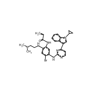 C=CC(=O)Nc1cc(Nc2nccc(-c3cn(C4CC4)c4ccccc34)n2)c(Br)cc1NCCN(C)C